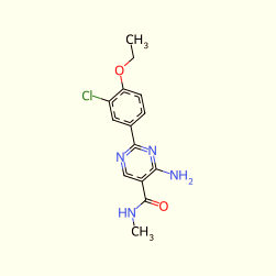 CCOc1ccc(-c2ncc(C(=O)NC)c(N)n2)cc1Cl